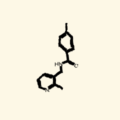 Cc1ccc(C(=O)NCc2cccnc2C)cc1